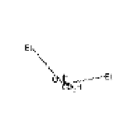 CCC=CCC=CCC=CCC=CCC=CCC=CCCC(=O)NCCC[C@H](NC(=O)CCC=CCC=CCC=CCC=CCC=CCC=CCC)C(=O)O